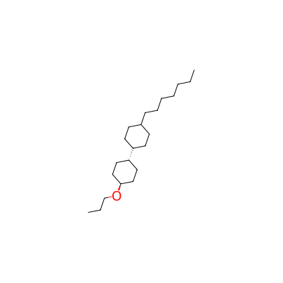 CCCCCCCC1CCC([C@H]2CC[C@H](OCCC)CC2)CC1